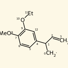 [CH2]C(C=C)c1ccc(OC)c(OCC)c1